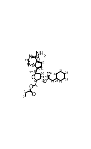 CCC(=O)OC[C@H]1O[C@@](C)(c2ccc3c(N)ncnn23)C[C@@H]1OC(=O)CC1CCCCC1